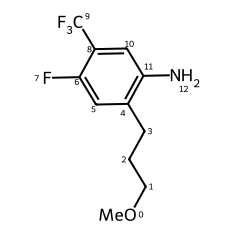 COCCCc1cc(F)c(C(F)(F)F)cc1N